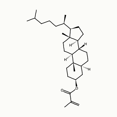 C=C(C)C(=O)O[C@H]1CC[C@@]2(C)[C@@H](CC[C@@H]3[C@@H]2CC[C@]2(C)[C@@H]([C@H](C)CCCC(C)C)CC[C@@H]32)C1